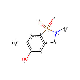 Cc1cc2c(cc1O)CN(C(C)C)S2(=O)=O